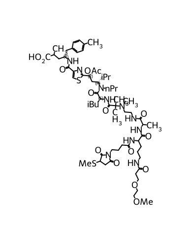 CCCN(C(=O)[C@@H](NC(=O)C(C)(C)N(C)CCNC(=O)C(C)NC(=O)C(CCCNC(=O)CCOCCOC)NC(=O)CCCN1C(=O)CC(SC)C1=O)C(C)CC)[C@H](C[C@@H](OC(C)=O)c1nc(C(=O)N[C@@H](Cc2ccc(C)cc2)CC(C)C(=O)O)cs1)C(C)C